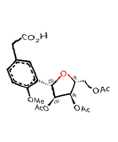 COc1ccc(CC(=O)O)cc1[C@@H]1O[C@H](COC(C)=O)[C@@H](OC(C)=O)[C@H]1OC(C)=O